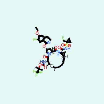 CCOc1cc2ccnc(O[C@@H]3C[C@H]4C(=O)N[C@]5(C(=O)NS(=O)(=O)C6(CF)CC6)C[C@H]5C=CCC[C@H](C)C[C@@H](C)[C@H](NC(=O)OC(C)(C)C(F)(F)F)C(=O)N4C3)c2cc1F